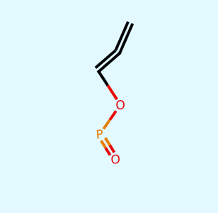 C=C=COP=O